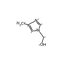 Cc1cn(CO)cn1